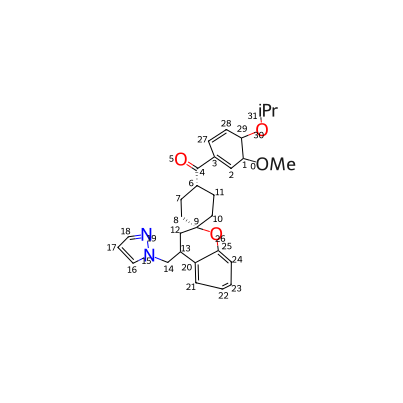 COC1C=C(C(=O)[C@H]2CC[C@@]3(CC2)CC(Cn2cccn2)c2ccccc2O3)C=CC1OC(C)C